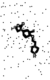 O=C1O[C@@H](I)CN1c1ccc(OCCN2CCNCC2)c(F)c1